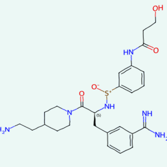 N=C(N)c1cccc(C[C@H](N[S+]([O-])c2cccc(NC(=O)CCO)c2)C(=O)N2CCC(CCN)CC2)c1